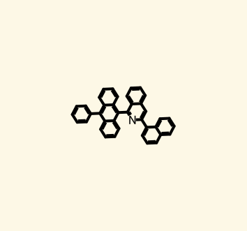 c1ccc(-c2c3ccccc3c(-c3nc(-c4cccc5ccccc45)cc4ccccc34)c3ccccc23)cc1